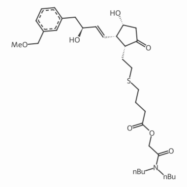 CCCCN(CCCC)C(=O)COC(=O)CCCSCC[C@H]1C(=O)C[C@@H](O)[C@H]1/C=C/[C@@H](O)Cc1cccc(COC)c1